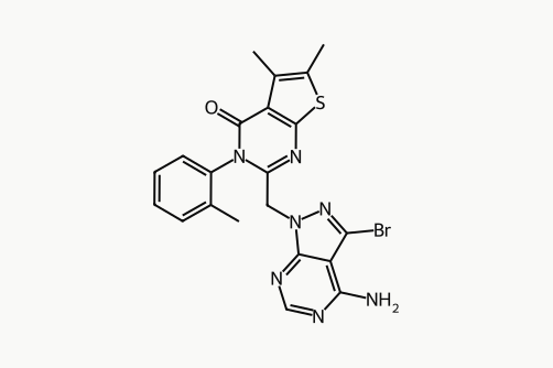 Cc1ccccc1-n1c(Cn2nc(Br)c3c(N)ncnc32)nc2sc(C)c(C)c2c1=O